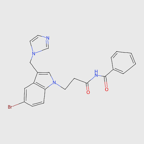 O=C(CCn1cc(Cn2ccnc2)c2cc(Br)ccc21)NC(=O)c1ccccc1